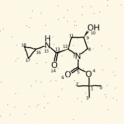 CC(C)(C)OC(=O)N1C[C@H](O)C[C@@H]1C(=O)NC1CC1